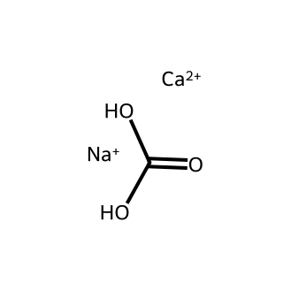 O=C(O)O.[Ca+2].[Na+]